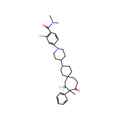 CN(C)C(=O)c1ccc(N2CCC(C3CCC4(CCC(=O)C(C)(c5ccccc5)C(F)(F)C4)CC3)CC2)cc1Cl